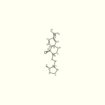 C[C@@H]1CCCN1CCN1CCc2cc(N(C)C)ccc2C1=O